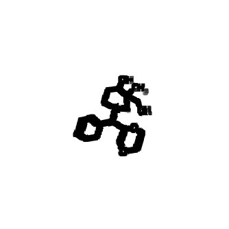 CC1(CO)CN(C(C2=CC=CCC2)C2=COC=CO2)CCC1O